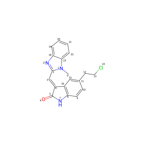 Cn1c(C=C2C(=O)Nc3ccc(CCCl)cc32)nc2ccccc21